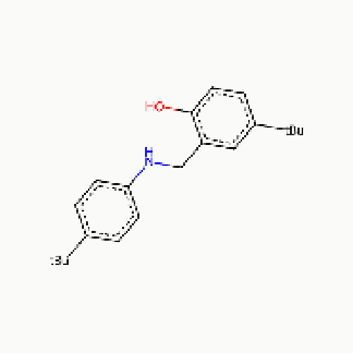 CC(C)(C)c1ccc(NCc2cc(C(C)(C)C)ccc2O)cc1